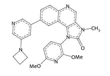 COc1ccc(-n2c(=O)n(C)c3cnc4ccc(-c5cncc(N6CCC6)c5)cc4c32)c(OC)n1